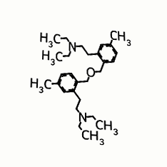 CCN(CC)CCc1cc(C)ccc1COCc1ccc(C)cc1CCN(CC)CC